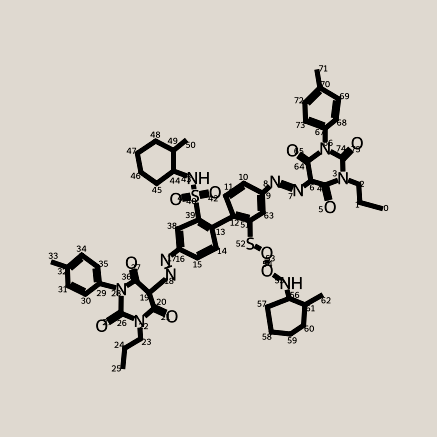 CCCN1C(=O)C(N=Nc2ccc(-c3ccc(N=NC4C(=O)N(CCC)C(=O)N(c5ccc(C)cc5)C4=O)cc3S(=O)(=O)NC3CCCCC3C)c(SOONC3CCCCC3C)c2)C(=O)N(c2ccc(C)cc2)C1=O